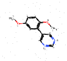 COc1ccc(OC)c(-c2cncnc2)c1